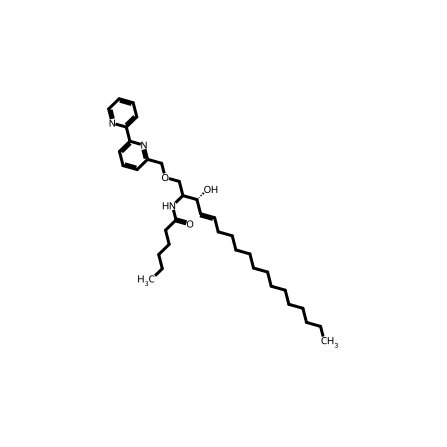 CCCCCCCCCCCCC/C=C/[C@@H](O)C(COCc1cccc(-c2ccccn2)n1)NC(=O)CCCCC